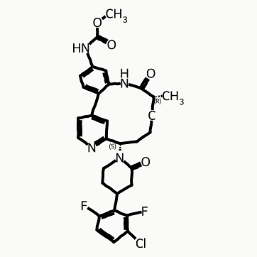 COC(=O)Nc1ccc2c(c1)NC(=O)[C@H](C)CCC[C@H](N1CCC(c3c(F)ccc(Cl)c3F)CC1=O)c1cc-2ccn1